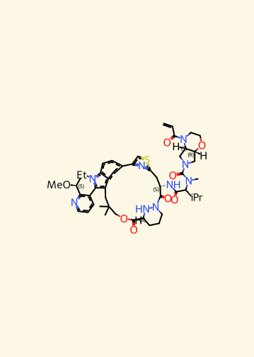 C=CC(=O)N1CCO[C@@H]2CN(C(=O)N(C)C(C(=O)N[C@H]3Cc4nc(cs4)-c4ccc5c(c4)c(c(-c4cccnc4[C@H](C)OC)n5CC)CC(C)(C)COC(=O)[C@@H]4CCCN(N4)C3=O)C(C)C)C[C@@H]21